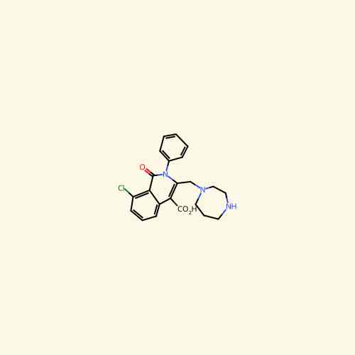 O=C(O)c1c(CN2CCCNCC2)n(-c2ccccc2)c(=O)c2c(Cl)cccc12